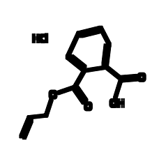 C=CCOC(=O)c1ccccc1C(=O)O.Cl